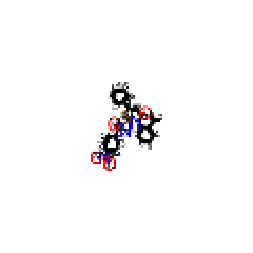 CC(C)c1ccccc1-n1c(=O)cc(-c2ccccc2)s/c1=N\C(=O)c1ccc([N+](=O)[O-])cc1